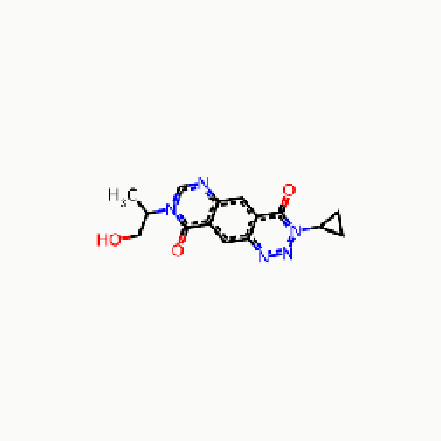 CC(CO)n1cnc2cc3c(=O)n(C4CC4)nnc3cc2c1=O